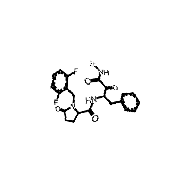 CCNC(=O)C(=O)C(Cc1ccccc1)NC(=O)C1CCC(=O)N1Cc1c(F)cccc1F